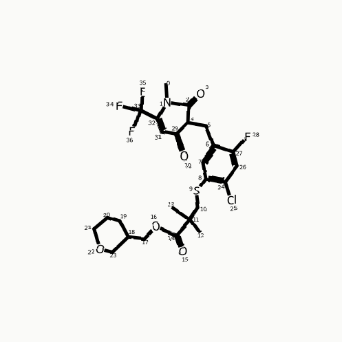 CN1C(=O)C(Cc2cc(SCC(C)(C)C(=O)OCC3CCCOC3)c(Cl)cc2F)C(=O)C=C1C(F)(F)F